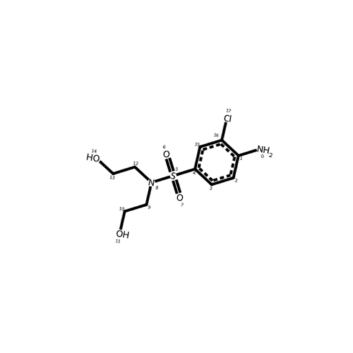 Nc1ccc(S(=O)(=O)N(CCO)CCO)cc1Cl